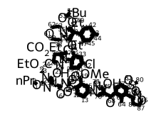 CCCOc1nn(C(=O)NS(=O)(=O)c2ccccc2C(=O)OC)c(=O)n1C.CCOC(=O)C1=NN(c2ccc(Cl)cc2Cl)C(C)(C(=O)OCC)C1.CCc1cc(C)cc(CC)c1-c1c(OC(=O)C(C)(C)C)n2n(c1=O)CCOCC2.Cc1c(C(=O)c2cnn(C)c2O)ccc(S(C)(=O)=O)c1C1=NOCC1